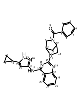 O=C(c1ccccc1)N1CC2CC1CN2c1nc(Nc2cc(C3CC3)[nH]n2)c2ccccc2n1